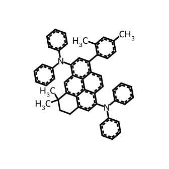 Cc1ccc(-c2cc(N(c3ccccc3)c3ccccc3)c3cc4c5c(cc(N(c6ccccc6)c6ccccc6)c6ccc2c3c65)CCC4(C)C)c(C)c1